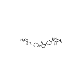 CNC(=N)c1ccc(N2CCN(c3ccc(CCC(=O)OC)cc3)C2=O)cc1